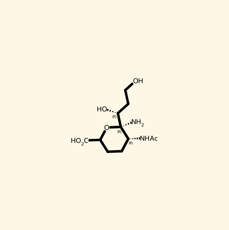 CC(=O)N[C@@H]1CCC(C(=O)O)O[C@@]1(N)[C@H](O)CCO